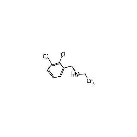 FC(F)(F)CNCc1cccc(Cl)c1Cl